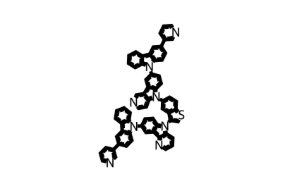 c1cncc(-c2ccc3c(c2)c2ccccc2n3-c2ccc3c(c2)c2cnccc2n3-c2ccc3scc(-n4c5ccc(-n6c7ccccc7c7cc(-c8cccnc8)ccc76)cc5c5ncccc54)c3c2)c1